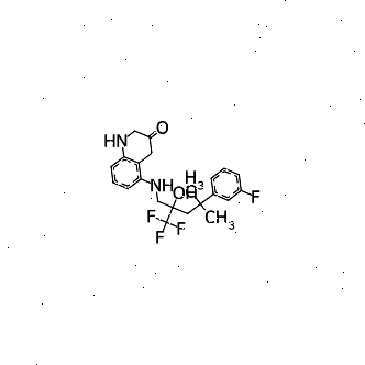 CC(C)(CC(O)(CNc1cccc2c1CC(=O)CN2)C(F)(F)F)c1cccc(F)c1